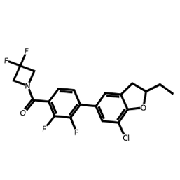 CCC1Cc2cc(-c3ccc(C(=O)N4CC(F)(F)C4)c(F)c3F)cc(Cl)c2O1